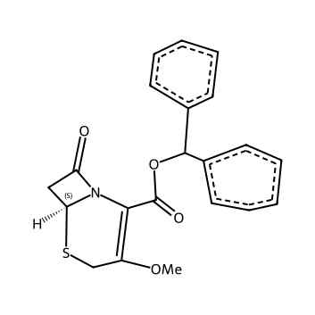 COC1=C(C(=O)OC(c2ccccc2)c2ccccc2)N2C(=O)C[C@@H]2SC1